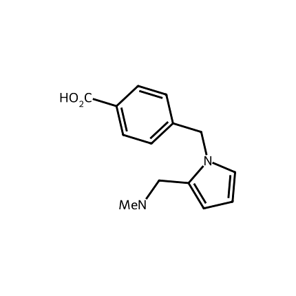 CNCc1cccn1Cc1ccc(C(=O)O)cc1